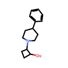 OC1CCC1N1CCC(c2[c]cccc2)CC1